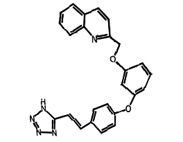 C(=Cc1nnn[nH]1)c1ccc(Oc2cccc(OCc3ccc4ccccc4n3)c2)cc1